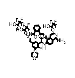 CCc1cc(C(Nc2ccc3c(N)nccc3c2)c2nc(-c3ccccc3C(N)=O)c[nH]2)c(F)c(N2CCOCC2)c1.O=C(O)C(F)(F)F.O=C(O)C(F)(F)F.O=C(O)C(F)(F)F